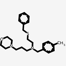 Cc1ccc(CN(CCCN2CCOCC2)CCSCc2ccccc2)cc1